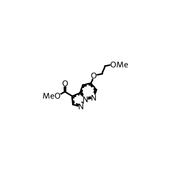 COCCOc1cnn2ncc(C(=O)OC)c2c1